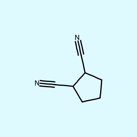 N#CC1CCCC1C#N